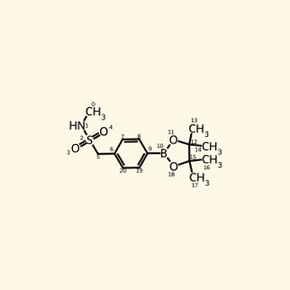 CNS(=O)(=O)Cc1ccc(B2OC(C)(C)C(C)(C)O2)cc1